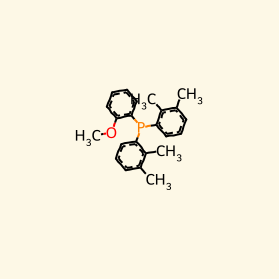 COc1ccccc1P(c1cccc(C)c1C)c1cccc(C)c1C